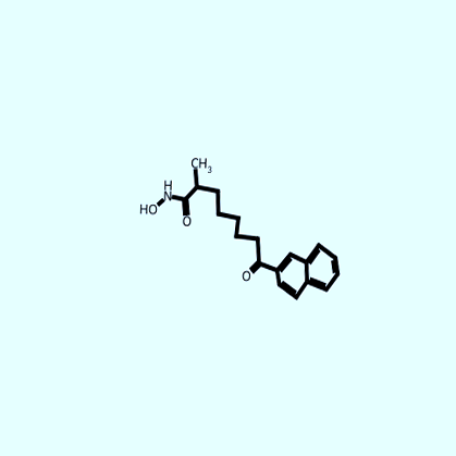 CC(CCCCCC(=O)c1ccc2ccccc2c1)C(=O)NO